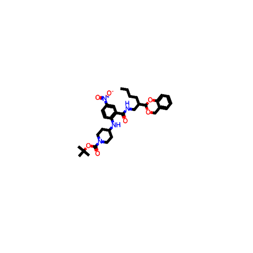 CCCCC(CNC(=O)c1cc([N+](=O)[O-])ccc1NC1CCN(C(=O)OC(C)(C)C)CC1)C1OCc2ccccc2O1